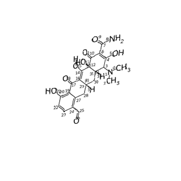 CN(C)C1C(O)=C(C(N)=O)C(=O)[C@@]2(O)C(O)=C3C(=O)c4c(O)ccc(C=O)c4C[C@H]3C[C@@H]12